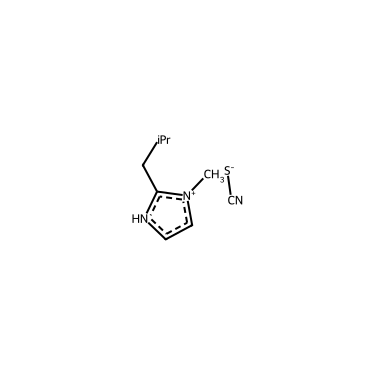 CC(C)Cc1[nH]cc[n+]1C.N#C[S-]